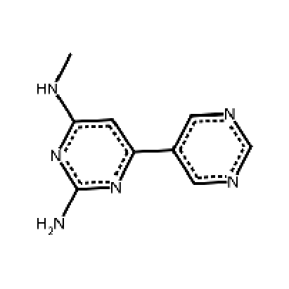 CNc1cc(-c2cncnc2)nc(N)n1